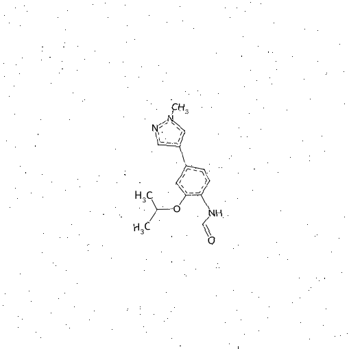 CC(C)Oc1cc(-c2cnn(C)c2)ccc1NC=O